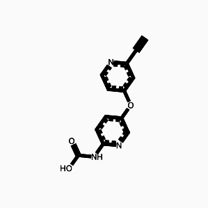 C#Cc1cc(Oc2ccc(NC(=O)O)nc2)ccn1